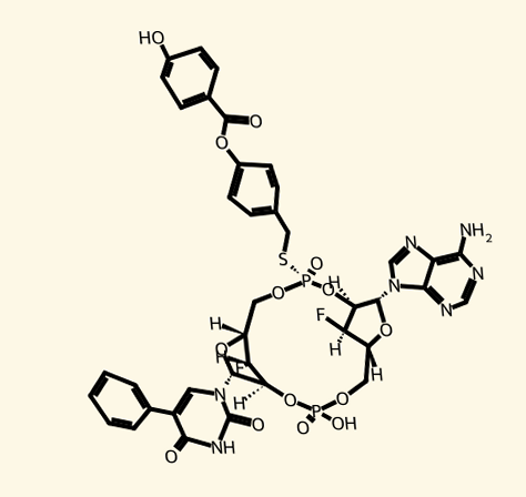 Nc1ncnc2c1ncn2[C@@H]1O[C@@H]2COP(=O)(O)O[C@@H]3[C@H](F)[C@@H](CO[P@](=O)(SCc4ccc(OC(=O)c5ccc(O)cc5)cc4)O[C@@H]1[C@@H]2F)O[C@H]3n1cc(-c2ccccc2)c(=O)[nH]c1=O